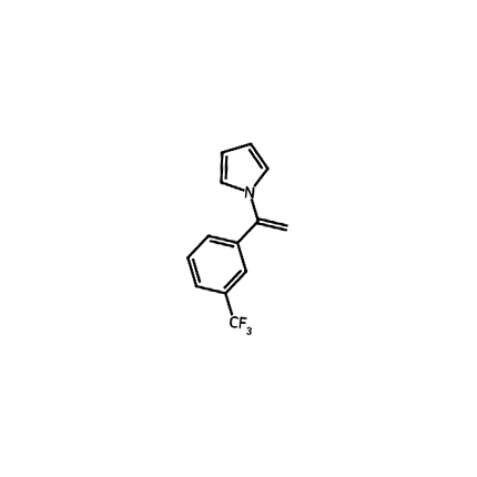 C=C(c1cccc(C(F)(F)F)c1)n1cccc1